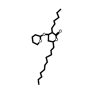 CCCCCCCCCCCC1CC(OC2CCCCO2)C(CCCCCC)C(=O)O1